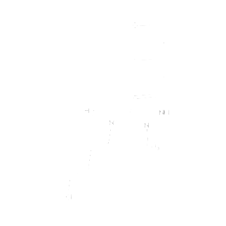 CN1NC(CC2CCOCC2)=CC1N(C)C(=O)CCCCl